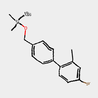 Cc1cc(Br)ccc1-c1ccc(CO[Si](C)(C)C(C)(C)C)cc1